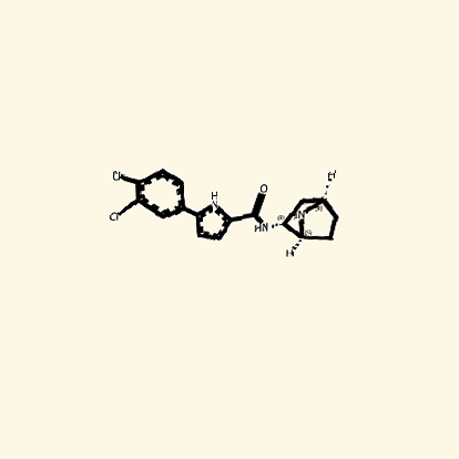 O=C(N[C@@H]1C[C@H]2CC[C@@H]1N2)c1ccc(-c2ccc(Cl)c(Cl)c2)[nH]1